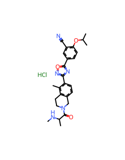 CNC(C)C(=O)N1CCc2c(ccc(-c3noc(-c4ccc(OC(C)C)c(C#N)c4)n3)c2C)C1.Cl